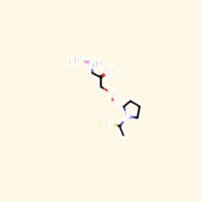 CC(S)N1CCC[C@H]1COCC(=O)CNO